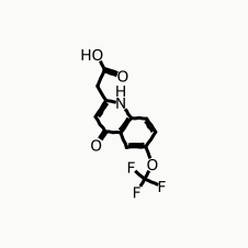 O=C(O)Cc1cc(=O)c2cc(OC(F)(F)F)ccc2[nH]1